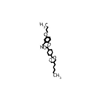 CCCCCC1COC(C2CCC(C(=O)Oc3ccc(OCCCC)cc3C#N)CC2)OC1